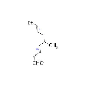 CC/C=C/CC(C)/C=C/C[C]=O